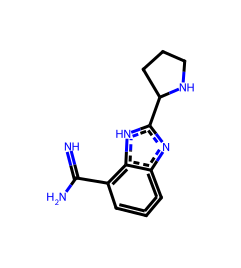 N=C(N)C1=c2[nH]c(C3CCCN3)nc2=C=C=C1